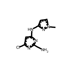 Cn1ccc(Nc2cc(Cl)nc(N)n2)n1